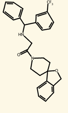 O=C(CNC(c1ccccc1)c1cccc(C(F)(F)F)c1)N1CCC2(CC1)OCc1ccccc12